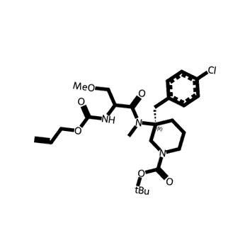 C=CCOC(=O)NC(COC)C(=O)N(C)[C@@]1(Cc2ccc(Cl)cc2)CCCN(C(=O)OC(C)(C)C)C1